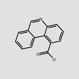 [O]C(=O)c1cccc2ncc3ccccc3c12